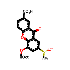 CCCCCCCCOc1cc([S+]([O-])CCC)cc2c(=O)c3cc(C(=O)O)ccc3oc12